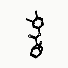 Cc1ccc(OC(=O)C2CC3C=CC2C3=O)cc1C